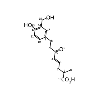 CC(C/C=C/C(=O)CCc1ccc(O)c(CO)c1)C(=O)O